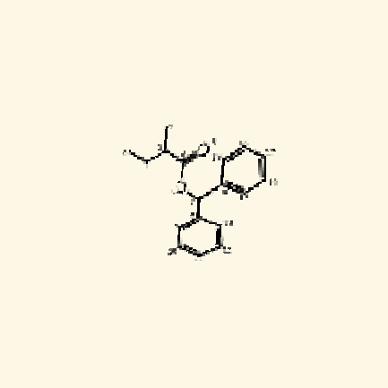 CCC(C)C(=O)OC(c1ccccc1)c1ccccc1